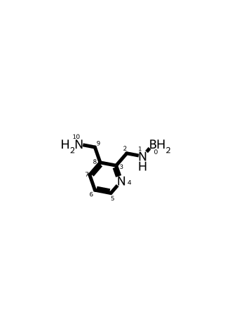 BNCc1ncccc1CN